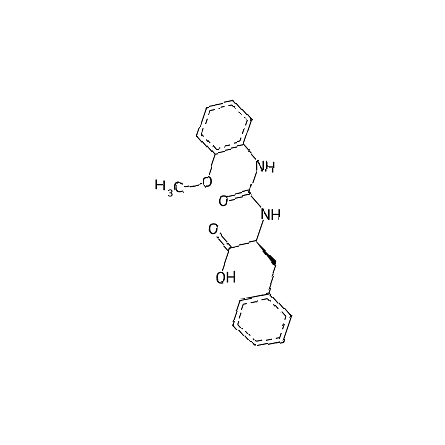 COc1ccccc1NC(=O)N[C@@H](Cc1ccccc1)C(=O)O